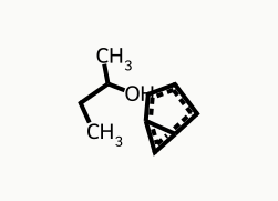 CCC(C)O.c1cc2cc-2c1